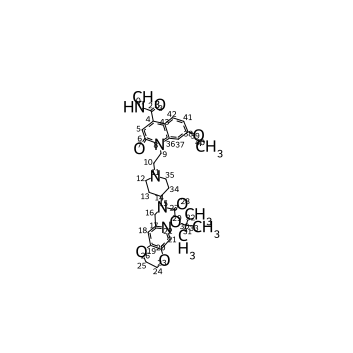 CNC(=O)c1cc(=O)n(CCN2CCC(N(Cc3cc4c(cn3)OCCO4)C(=O)OC(C)(C)C)CC2)c2cc(OC)ccc12